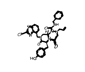 C=CCN1CC(=O)N2[C@@H](Cc3ccc(O)cc3)C(=O)N(Cc3cccc4sc(Cl)nc34)C[C@@H]2N1C(=O)NCc1ccccc1